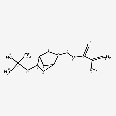 C=C(C)C(=O)OCC1CC2CC1CC2CC(C)(O)C(F)(F)F